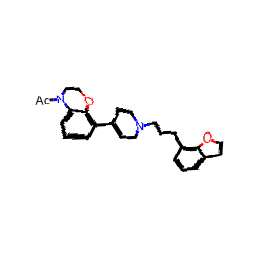 CC(=O)N1CCOc2c(C3=CCN(CCCc4cccc5c4OCC5)CC3)cccc21